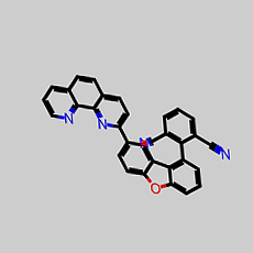 N#Cc1cccc(C#N)c1-c1cccc2oc3ccc(-c4ccc5ccc6cccnc6c5n4)cc3c12